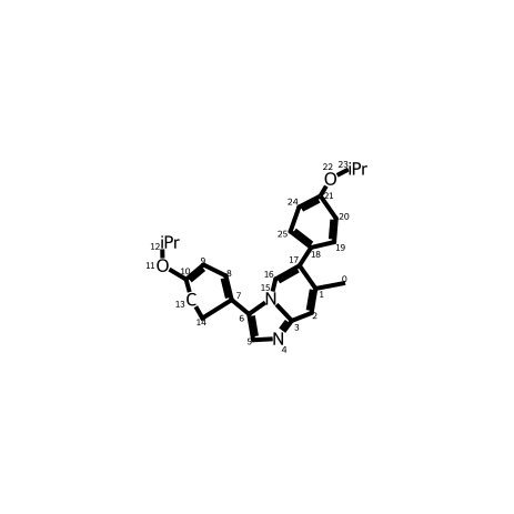 Cc1cc2ncc(C3=CC=C(OC(C)C)CC3)n2cc1-c1ccc(OC(C)C)cc1